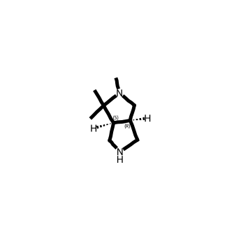 CN1C[C@H]2CNC[C@H]2C1(C)C